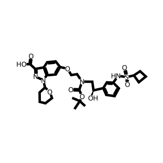 CC(C)(C)OC(=O)N(CCOc1ccc2c(C(=O)O)nn(C3CCCCO3)c2c1)C[C@H](O)c1cccc(NS(=O)(=O)C2CCC2)c1